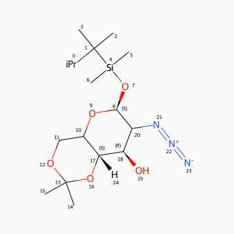 CC(C)C(C)(C)[Si](C)(C)O[C@@H]1OC2COC(C)(C)O[C@H]2[C@H](O)C1N=[N+]=[N-]